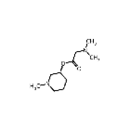 CN(C)CC(=O)O[C@H]1CCCN(C)C1